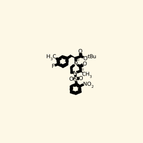 Cc1cc(C[C@@H](C(=O)OC(C)(C)C)N2CCN(S(=O)(=O)c3ccccc3[N+](=O)[O-])[C@@H](C)C2=O)ccc1F